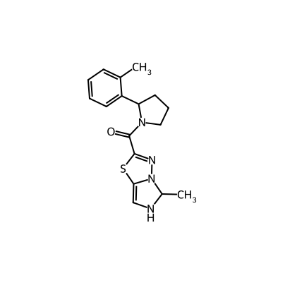 Cc1ccccc1C1CCCN1C(=O)C1=NN2C(=CNC2C)S1